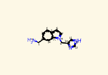 NCc1ccc2ccn(Cc3c[nH]cn3)c2c1